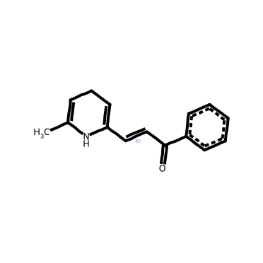 CC1=CCC=C(/C=C/C(=O)c2ccccc2)N1